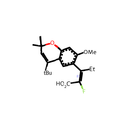 CC/C(=C(\F)C(=O)O)c1cc2c(cc1OC)OC(C)(C)C=C2C(C)(C)C